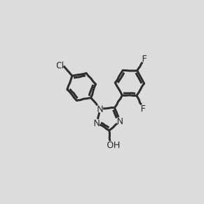 Oc1nc(-c2ccc(F)cc2F)n(-c2ccc(Cl)cc2)n1